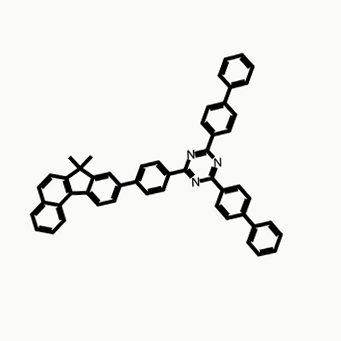 CC1(C)c2cc(-c3ccc(-c4nc(-c5ccc(-c6ccccc6)cc5)nc(-c5ccc(-c6ccccc6)cc5)n4)cc3)ccc2-c2c1ccc1ccccc21